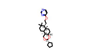 CC1(C)CCC2[C@]3(C)CO[C@@H](C4CCCC4)O[C@@H]3CC[C@@]2(C)[C@@H]1CCOc1ccncn1